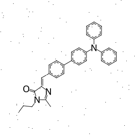 CCCN1C(=O)/C(=C/c2ccc(-c3ccc(N(c4ccccc4)c4ccccc4)cc3)cc2)N=C1C